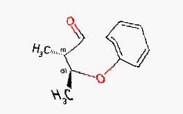 C[C@H](C=O)[C@H](C)Oc1ccccc1